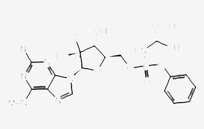 CCOC(=O)[C@H](C)N[P@](=O)(OC[C@H]1O[C@@H](n2cnc3c(NC)nc(N)nc32)[C@](C)(F)[C@@H]1O)Oc1ccccc1